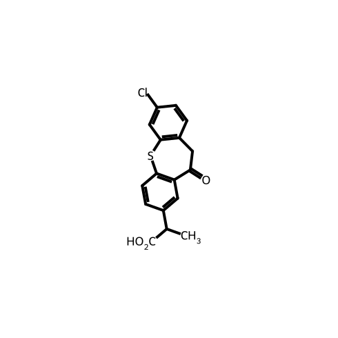 CC(C(=O)O)c1ccc2c(c1)C(=O)Cc1ccc(Cl)cc1S2